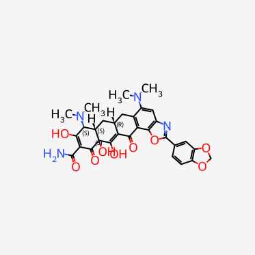 CN(C)c1cc2nc(-c3ccc4c(c3)OCO4)oc2c2c1C[C@H]1C[C@H]3[C@H](N(C)C)C(O)=C(C(N)=O)C(=O)[C@@]3(O)C(O)=C1C2=O